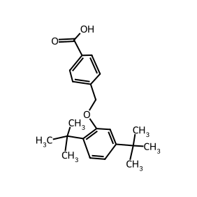 CC(C)(C)c1ccc(C(C)(C)C)c(OCc2ccc(C(=O)O)cc2)c1